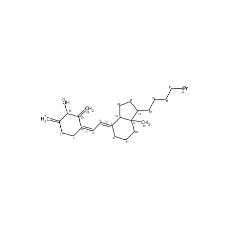 C=C1CC/C(=C/C=C2\CCCC3(C)C(CCCCC(C)C)CCC23)C(=C)C1O